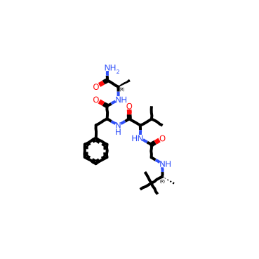 CC(C)C(NC(=O)CN[C@H](C)C(C)(C)C)C(=O)NC(Cc1ccccc1)C(=O)N[C@H](C)C(N)=O